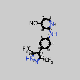 N#Cc1ccnc(Nc2ccc(-c3c(C(F)(F)F)n[nH]c3C(F)(F)F)cc2)c1